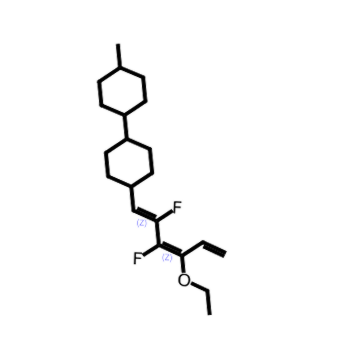 C=C/C(OCC)=C(F)\C(F)=C\C1CCC(C2CCC(C)CC2)CC1